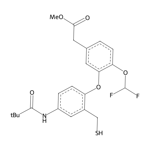 COC(=O)Cc1ccc(OC(F)F)c(Oc2ccc(NC(=O)C(C)(C)C)cc2CS)c1